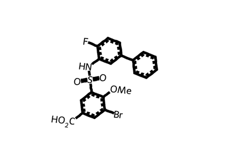 COc1c(Br)cc(C(=O)O)cc1S(=O)(=O)Nc1cc(-c2ccccc2)ccc1F